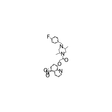 CC1CN(C(=O)COc2ccc([N+](=O)[O-])c3cccnc23)C(C)CN1Cc1ccc(F)cc1